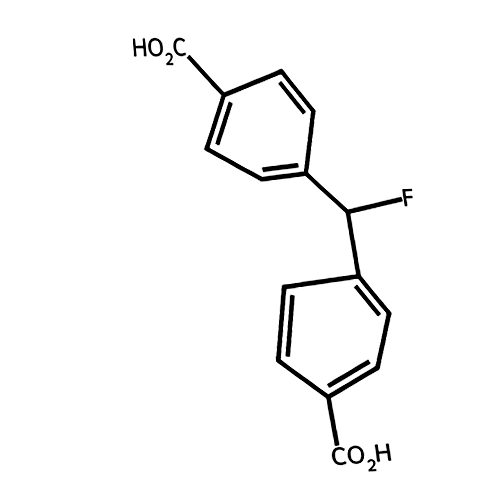 O=C(O)c1ccc(C(F)c2ccc(C(=O)O)cc2)cc1